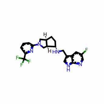 Fc1cnc2[nH]cc(CN[C@H]3CC[C@@H]4CN(c5cccc(C(F)(F)F)n5)C[C@@H]43)c2c1